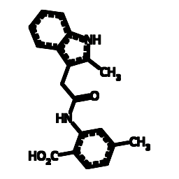 Cc1ccc(C(=O)O)c(NC(=O)Cc2c(C)[nH]c3ccccc23)c1